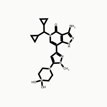 Cn1nc(-c2cn(C(C3CC3)C3CC3)c(=O)c3c(N)n[nH]c23)cc1N1CCS(O)(O)CC1